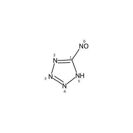 O=Nc1nnn[nH]1